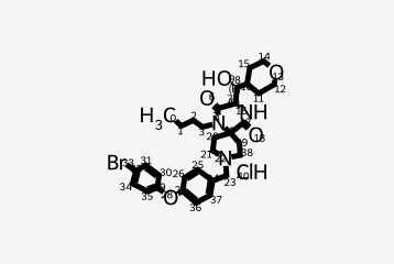 CCCCN1C(=O)[C@@H]([C@H](O)C2CCOCC2)NC(=O)C12CCN(Cc1ccc(Oc3ccc(Br)cc3)cc1)CC2.Cl